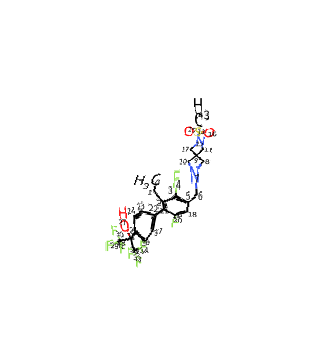 CCc1c(F)c(CN2CC3(C2)CN(S(C)(=O)=O)C3)cc(F)c1-c1ccc(C(O)(C(F)(F)F)C(F)(F)F)cc1